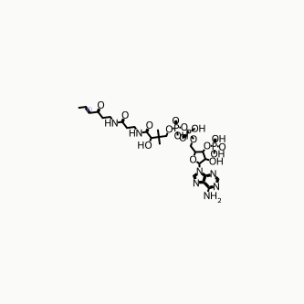 C/C=C/C(=O)CCNC(=O)CCNC(=O)C(O)C(C)(C)COP(=O)(O)OP(=O)(O)OCC1OC(n2cnc3c(N)ncnc32)C(O)C1OP(=O)(O)O